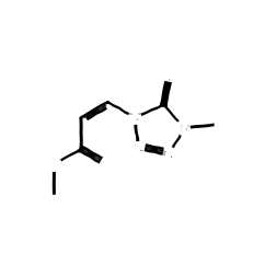 COC(=O)/C=C\n1nnn(C)c1=O